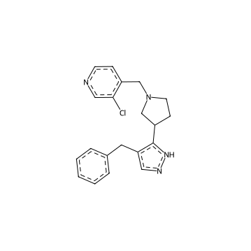 Clc1cnccc1CN1CCC(c2[nH]ncc2Cc2ccccc2)C1